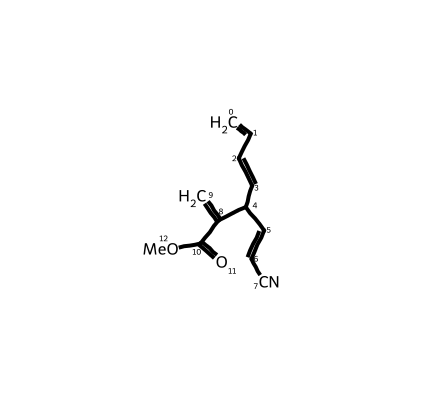 C=CC=CC(C=CC#N)C(=C)C(=O)OC